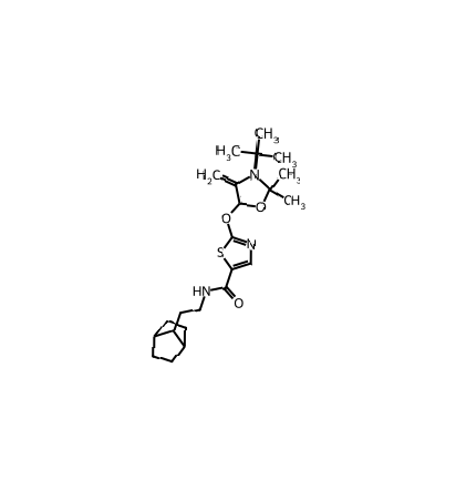 C=C1C(Oc2ncc(C(=O)NCCC3C4CCC3CC4)s2)OC(C)(C)N1C(C)(C)C